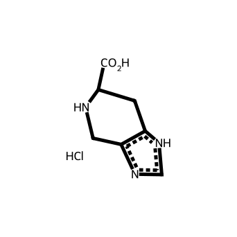 Cl.O=C(O)C1Cc2[nH]cnc2CN1